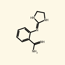 N=C(N)c1ccccc1N=C1NCCN1